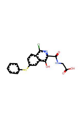 O=C(O)CNC(=O)c1nc(Cl)c2ccc(Sc3ccccc3)cc2c1O